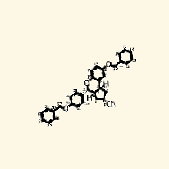 N#C[C@H]1C[C@H]2[C@@H](C1)c1cc(OCc3ccccc3)ccc1O[C@H]2c1ccc(OCc2ccccc2)cc1